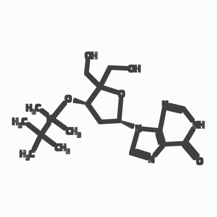 CC(C)(C)[Si](C)(C)O[C@H]1C[C@@H](n2cnc3c(=O)[nH]cnc32)OC1(CO)CO